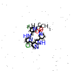 CC(C)(C)OC(=O)N1CCCC(c2cc3c(-c4nc(NCc5cncc(F)c5)ccc4Cl)ccnc3[nH]2)C1